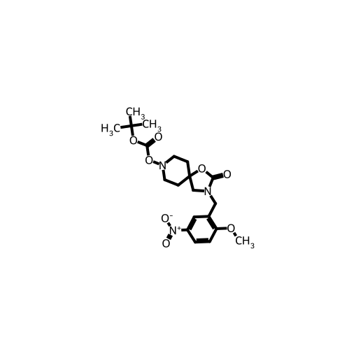 COc1ccc([N+](=O)[O-])cc1CN1CC2(CCN(OC(=O)OC(C)(C)C)CC2)OC1=O